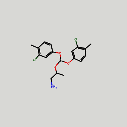 Cc1ccc(OB(Oc2ccc(C)c(Cl)c2)OC(C)CN)cc1Cl